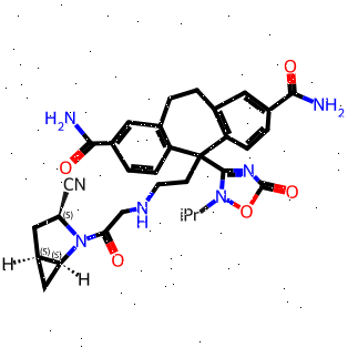 CC(C)n1oc(=O)nc1C1(CCNCC(=O)N2[C@H](C#N)C[C@@H]3C[C@@H]32)c2ccc(C(N)=O)cc2CCc2cc(C(N)=O)ccc21